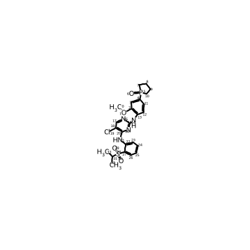 COc1cc(P2(=O)CCCC2)ccc1Nc1ncc(Cl)c(Nc2ccccc2S(=O)(=O)C(C)C)n1